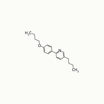 CCCCOc1ccc(-c2ccc(CCCC)cn2)cc1